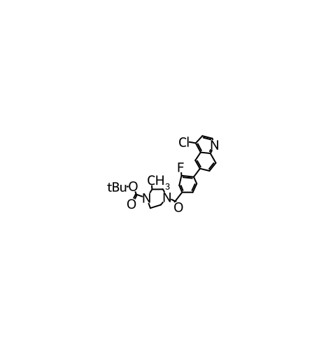 CC1CN(C(=O)c2ccc(-c3ccc4nccc(Cl)c4c3)c(F)c2)CCN1C(=O)OC(C)(C)C